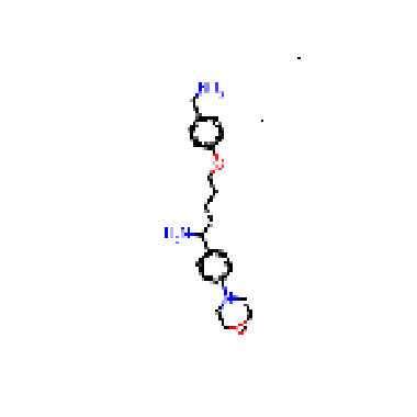 NCc1ccc(OCCCCC(N)c2ccc(N3CCOCC3)cc2)cc1